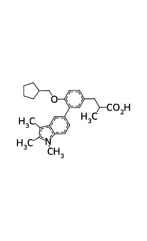 Cc1c(C)n(C)c2ccc(-c3cc(CC(C)C(=O)O)ccc3OCC3CCCC3)cc12